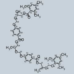 Cc1cc(C)c(OCOC(C)COC(=O)c2ccc(OCOC(C)COC(=O)c3ccc(OCOC(C)COC(=O)c4c(C)cc(C)cc4C)cc3)cc2)c(C)c1